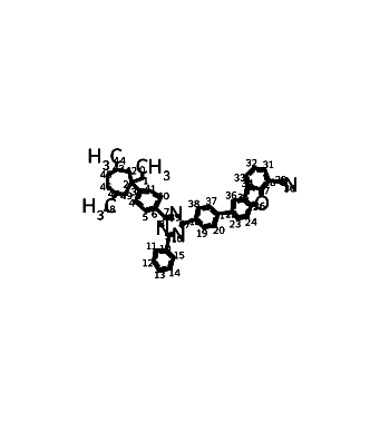 CCC1(c2ccc(-c3nc(-c4ccccc4)nc(-c4ccc(-c5ccc6oc7c(C#N)cccc7c6c5)cc4)n3)cc2)C[C@H](C)CC[C@H](C)C1